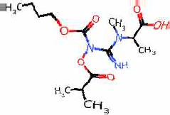 CCCCOC(=O)N(OC(=O)C(C)C)C(=N)N(C)C(C)C(=O)O